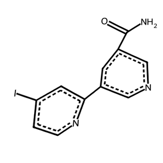 NC(=O)c1cncc(-c2cc(I)ccn2)c1